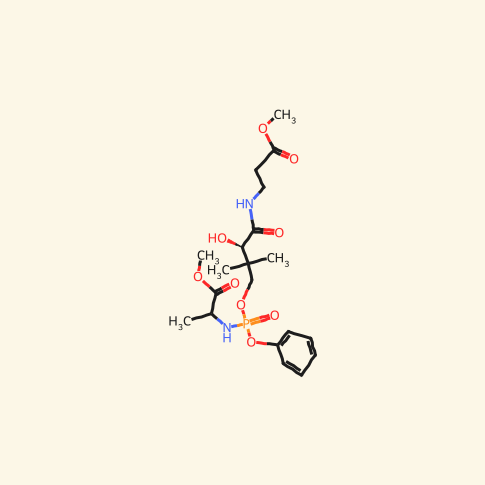 COC(=O)CCNC(=O)[C@H](O)C(C)(C)COP(=O)(NC(C)C(=O)OC)Oc1ccccc1